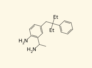 CCC(CC)(Cc1ccc(N)c(C(C)N)c1)c1ccccc1